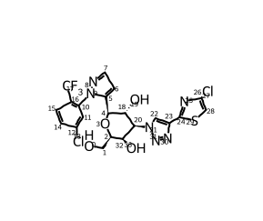 OC[C@H]1O[C@@H](c2ccnn2-c2cc(Cl)ccc2C(F)(F)F)[C@H](O)[C@@H](n2cc(-c3nc(Cl)cs3)nn2)[C@H]1O